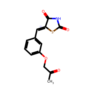 CC(=O)COc1cccc(/C=C2\SC(=O)NC2=O)c1